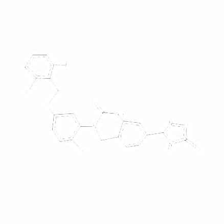 Cc1ccc(OCc2c(F)cccc2F)cc1N1Cc2ccc(-c3noc(=O)[nH]3)cc2NC1=O